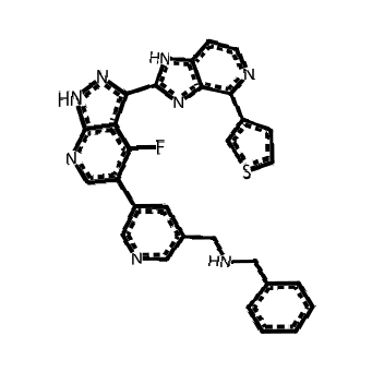 Fc1c(-c2cncc(CNCc3ccccc3)c2)cnc2[nH]nc(-c3nc4c(-c5ccsc5)nccc4[nH]3)c12